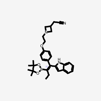 CC/C(B1OC(C)(C)C(C)(C)O1)=C(/c1ccc(OCCN2CC(CC#N)C2)cc1)c1cc2ccccc2[nH]1